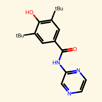 CC(C)(C)c1cc(C(=O)Nc2cnccn2)cc(C(C)(C)C)c1O